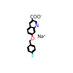 O=C([O-])c1cnc2cc(OCc3ccc(F)cc3)ccc2c1.[Na+]